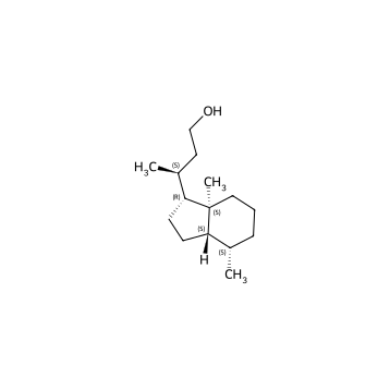 C[C@@H](CCO)[C@H]1CC[C@H]2[C@@H](C)CCC[C@]12C